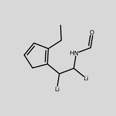 [Li][CH](NC=O)[CH]([Li])C1=C(CC)C=CC1